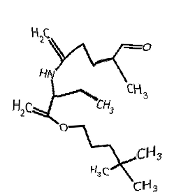 C=C(CCC(C)C=O)NC(CC)C(=C)OCCCC(C)(C)C